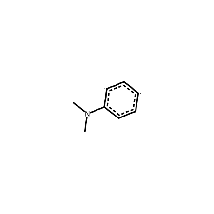 CN(C)c1[c]c[c]cc1